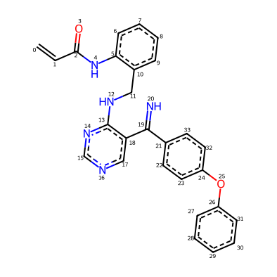 C=CC(=O)Nc1ccccc1CNc1ncncc1C(=N)c1ccc(Oc2ccccc2)cc1